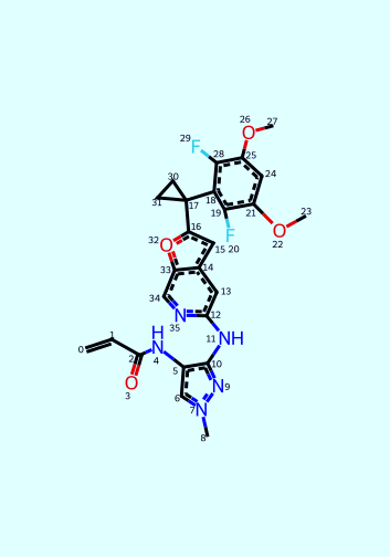 C=CC(=O)Nc1cn(C)nc1Nc1cc2cc(C3(c4c(F)c(OC)cc(OC)c4F)CC3)oc2cn1